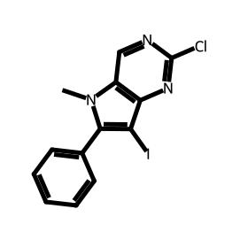 Cn1c(-c2ccccc2)c(I)c2nc(Cl)ncc21